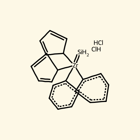 Cl.Cl.[SiH2]=[Zr]([c]1ccccc1)([c]1ccccc1)([CH]1C=CC=C1)[CH]1C=CC=C1